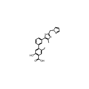 Cc1nc(Cn2cccn2)sc1-c1cccc(-c2cc(O)c(C(=O)O)cc2F)c1